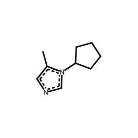 Cc1cncn1C1CCCC1